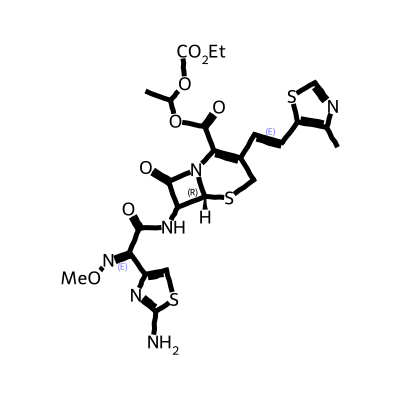 CCOC(=O)OC(C)OC(=O)C1=C(/C=C/c2scnc2C)CS[C@@H]2C(NC(=O)/C(=N/OC)c3csc(N)n3)C(=O)N12